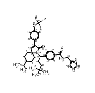 CC(C)C1CCC2(CC1)N=C(c1ccc(OC(F)(F)F)cc1)C(=O)N2[C@H](CCC(C)(C)C)c1ccc(C(=O)NCc2nn[nH]n2)cc1